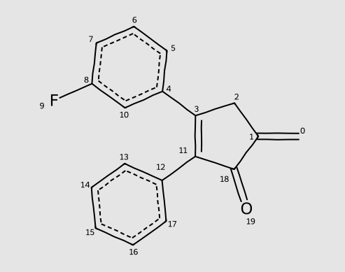 C=C1CC(c2cccc(F)c2)=C(c2ccccc2)C1=O